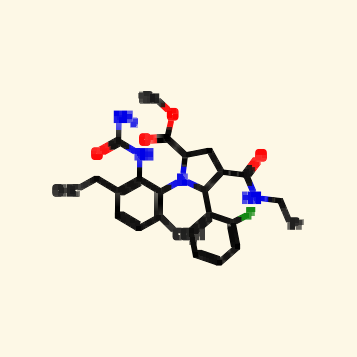 CC(C)CNC(=O)C1CC(C(=O)OC(C)(C)C)N(c2c(C(=O)O)ccc(CC=O)c2NC(N)=O)C1c1ccccc1F